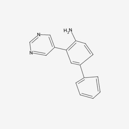 Nc1ccc(-c2ccccc2)cc1-c1cncnc1